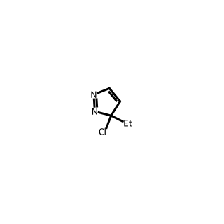 CCC1(Cl)C=CN=N1